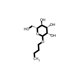 CCCCOC1O[C@H](CO)[C@@H](O)[C@H](O)[C@@H]1O